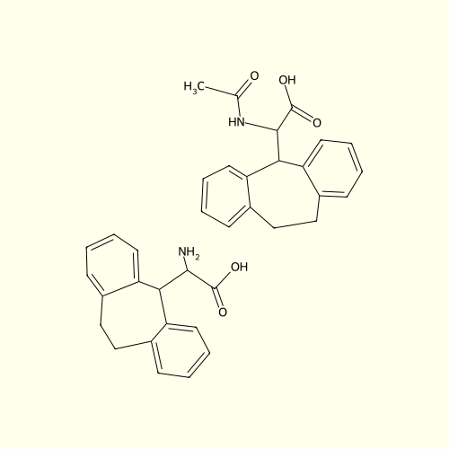 CC(=O)NC(C(=O)O)C1c2ccccc2CCc2ccccc21.NC(C(=O)O)C1c2ccccc2CCc2ccccc21